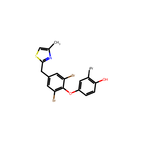 Cc1csc(Cc2cc(Br)c(Oc3ccc(O)c(C(C)C)c3)c(Br)c2)n1